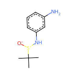 CC(C)(C)[S+]([O-])Nc1cccc(N)c1